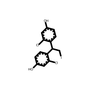 Oc1ccc(C(CI)c2ccc(O)cc2Cl)c(Cl)c1